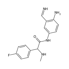 CNC(C(=O)Nc1ccc(N)c(C=N)c1)c1ccc(F)cc1